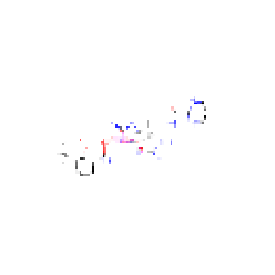 Cc1cnc(C(=O)NC[C@@H]2NC(=N)N3C[C@H](NC(=O)c4cccc5c4OCCC5(C)C)C(O)(O)[C@@]34NC(=N)N[C@@H]24)nc1